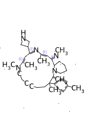 C=C1N2CCCCC2C(=N/C)/C=C(C)/N=C(C2CNC2)\C=C(/C)N(C)CCCCCCC1(C)c1ccc(C)cc1